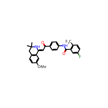 COc1ccc2c(c1)/C(=C/C(=O)c1ccc(NC(=O)c3cc(F)ccc3C(F)(F)F)cc1)NC(C)(C)C2